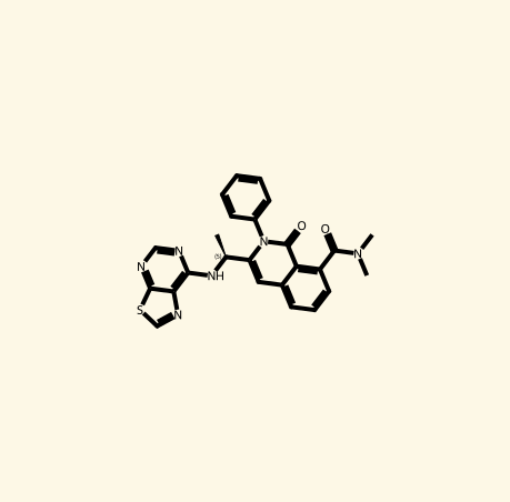 C[C@H](Nc1ncnc2scnc12)c1cc2cccc(C(=O)N(C)C)c2c(=O)n1-c1ccccc1